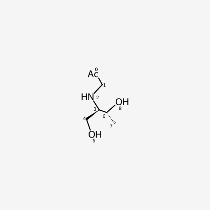 CC(=O)CN[C@H](CO)[C@@H](C)O